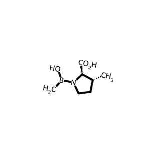 CB(O)N1CC[C@@H](C)[C@@H]1C(=O)O